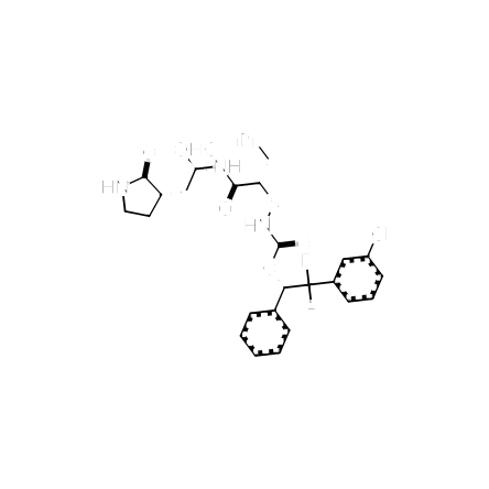 CC(C)C[C@H](SNC(=O)O[C@@H](c1ccccc1)C(F)(F)c1cccc(Cl)c1)C(=O)N[C@H](C=O)C[C@@H]1CCNC1=O